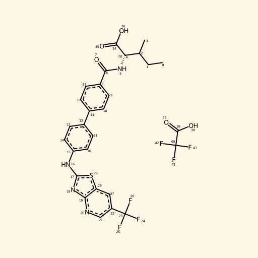 CCC(C)[C@H](NC(=O)c1ccc(-c2ccc(Nc3nc4ncc(C(F)(F)F)cc4s3)cc2)cc1)C(=O)O.O=C(O)C(F)(F)F